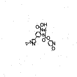 COc1ccc(OC(=O)N2C[C@H](C)N(C(=O)O)c3ccc(-c4cnn(C5CC5)c4)cc32)cn1